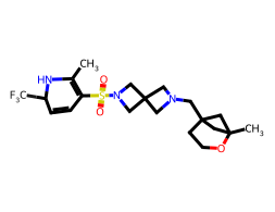 CC1=C(S(=O)(=O)N2CC3(CN(CC45CCOC(C)(C4)C5)C3)C2)C=CC(C(F)(F)F)N1